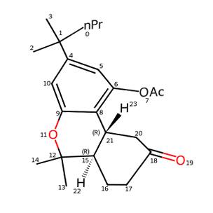 CCCC(C)(C)c1cc(OC(C)=O)c2c(c1)OC(C)(C)[C@@H]1CCC(=O)C[C@@H]21